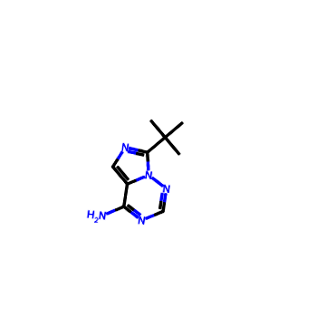 CC(C)(C)c1ncc2c(N)ncnn12